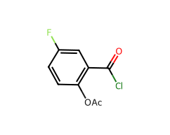 CC(=O)Oc1ccc(F)cc1C(=O)Cl